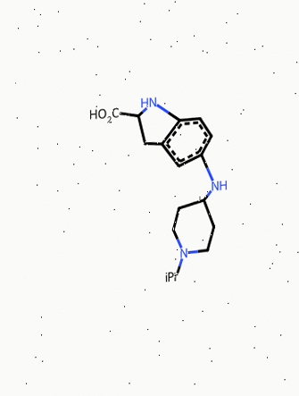 CC(C)N1CCC(Nc2ccc3c(c2)CC(C(=O)O)N3)CC1